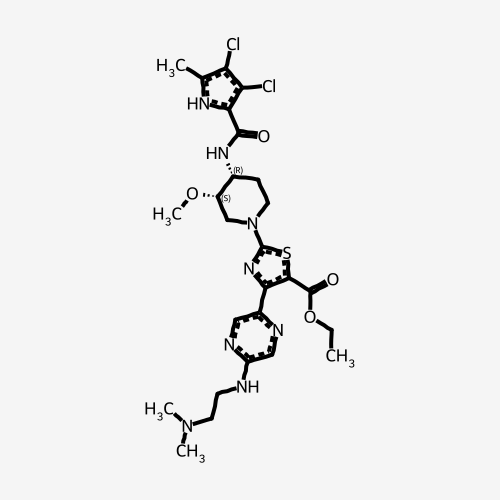 CCOC(=O)c1sc(N2CC[C@@H](NC(=O)c3[nH]c(C)c(Cl)c3Cl)[C@@H](OC)C2)nc1-c1cnc(NCCN(C)C)cn1